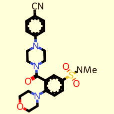 CNS(=O)(=O)c1ccc(N2CCOCC2)c(C(=O)N2CCN(c3ccc(C#N)cc3)CC2)c1